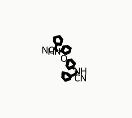 N#CC(Nc1ccc(Oc2ccccc2NC(C#N)c2ccccc2)cc1)c1ccccc1